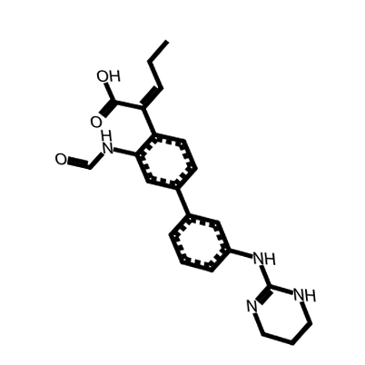 CCC=C(C(=O)O)c1ccc(-c2cccc(NC3=NCCCN3)c2)cc1NC=O